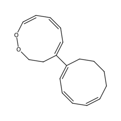 C1=CC=C(C2=CC=CC=COOCC2)CCCCC=C1